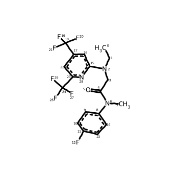 CCN(CC(=O)N(C)c1ccc(F)cc1)c1cc(C(F)(F)F)cc(C(F)(F)F)n1